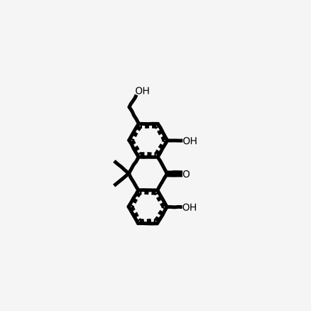 CC1(C)c2cccc(O)c2C(=O)c2c(O)cc(CO)cc21